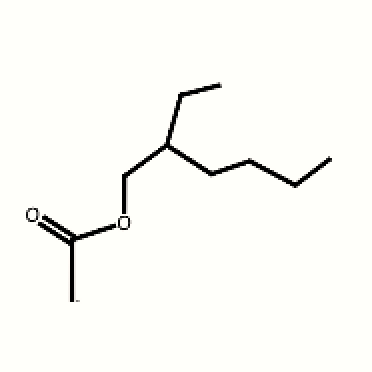 [CH2]C(=O)OCC(CC)CCCC